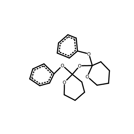 c1ccc(OC2(OC3(Oc4ccccc4)CCCCO3)CCCCO2)cc1